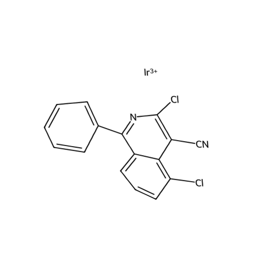 N#Cc1c(Cl)nc(-c2ccccc2)c2cccc(Cl)c12.[Ir+3]